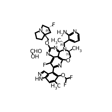 Cc1cc2[nH]ncc2c(-c2nc3c4c(nc(OC[C@@]56CCCN5C[C@H](F)C6)nc4c2F)N([C@H](C)c2cccnc2N)[C@@H](C)CO3)c1OC(F)F.O=CO